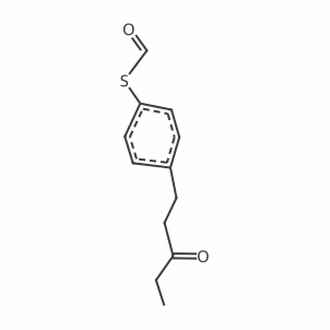 CCC(=O)CCc1ccc(SC=O)cc1